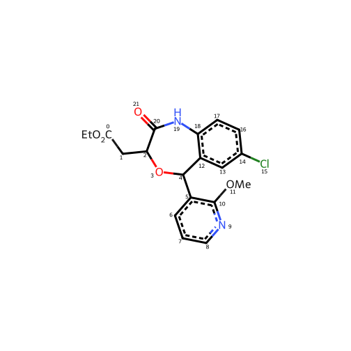 CCOC(=O)CC1OC(c2cccnc2OC)c2cc(Cl)ccc2NC1=O